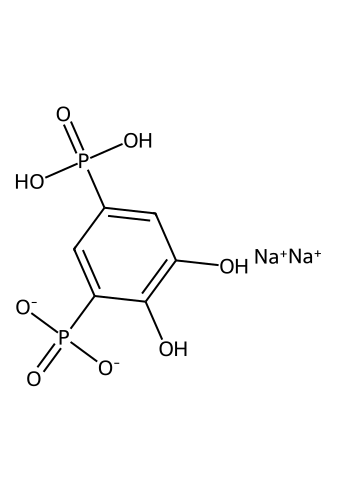 O=P([O-])([O-])c1cc(P(=O)(O)O)cc(O)c1O.[Na+].[Na+]